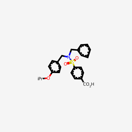 CC(C)Oc1ccc(CN(Cc2ccccc2)S(=O)(=O)c2ccc(C(=O)O)cc2)cc1